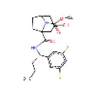 CC(C)(C)OC(=O)N1C2CCC1(C(=O)N[C@@H](CCC=O)c1cc(F)cc(F)c1)CC(O)C2